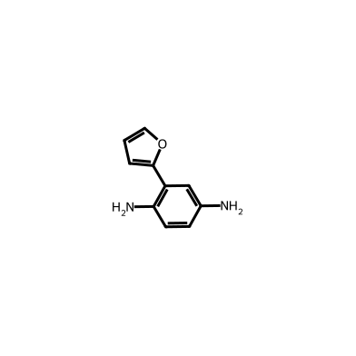 Nc1ccc(N)c(-c2ccco2)c1